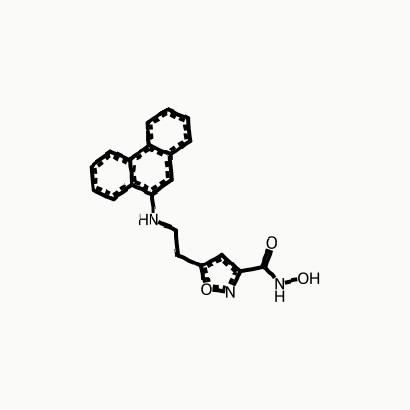 O=C(NO)c1cc(CCNc2cc3ccccc3c3ccccc23)on1